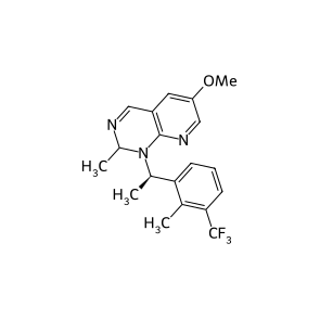 COc1cnc2c(c1)C=NC(C)N2[C@H](C)c1cccc(C(F)(F)F)c1C